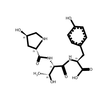 C[C@@H](O)[C@H](NC(=O)[C@@H]1C[C@@H](O)CN1)C(=O)N[C@@H](Cc1ccc(O)cc1)C(=O)O